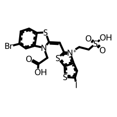 O=C(O)CN1C(=Cc2sc3sc(I)cc3[n+]2CCS(=O)(=O)O)Sc2ccc(Br)cc21